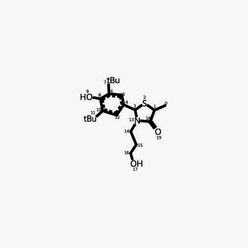 CC1SC(c2cc(C(C)(C)C)c(O)c(C(C)(C)C)c2)N(CCCO)C1=O